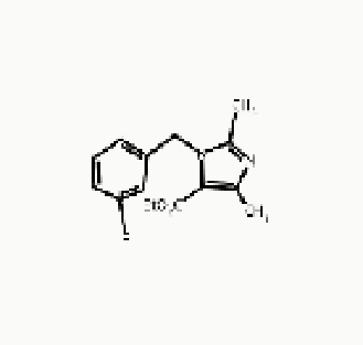 CCOC(=O)c1c(C)nc(C)n1Cc1cccc(F)c1